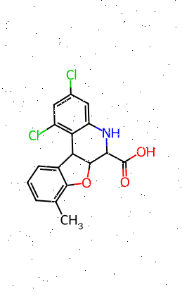 Cc1cccc2c1OC1C(C(=O)O)Nc3cc(Cl)cc(Cl)c3C21